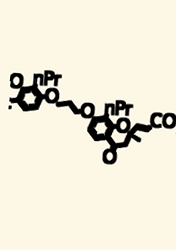 CCCc1c(OCCCOc2ccc3c(c2CCC)O[C@](C)(/C=C/C(=O)OCC)CC3=O)ccc(C(C)=O)c1O